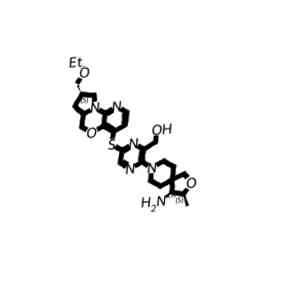 CCOC[C@H]1CC2COc3c(Sc4cnc(N5CCC6(CC5)CO[C@@H](C)[C@H]6N)c(CO)n4)ccnc3N2C1